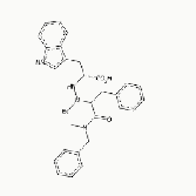 CCN(N[C@H](Cc1c[nH]c2ccccc12)C(=O)O)C(Cc1ccccc1)C(=O)N(C)Cc1ccccc1